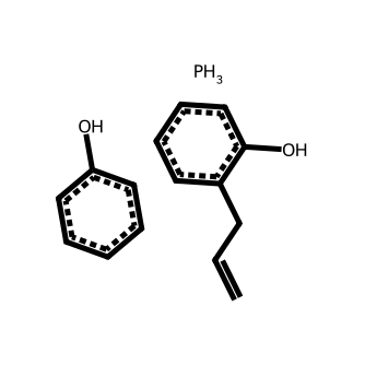 C=CCc1ccccc1O.Oc1ccccc1.P